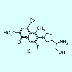 Cc1c(N2CCC(C(N)CO)C2)c(F)cn2c(=O)c(C(=O)O)cc(C3CC3)c12.Cl